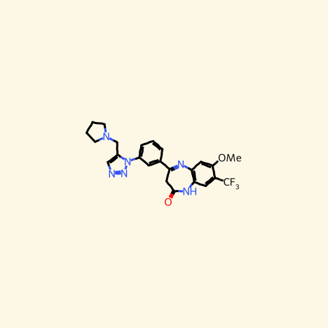 COc1cc2c(cc1C(F)(F)F)NC(=O)CC(c1cccc(-n3nncc3CN3CCCC3)c1)=N2